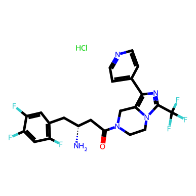 Cl.N[C@@H](CC(=O)N1CCn2c(C(F)(F)F)nc(-c3ccncc3)c2C1)Cc1cc(F)c(F)cc1F